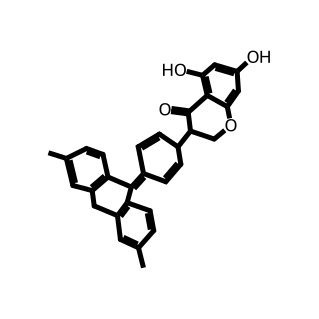 Cc1ccc2c(c1)Cc1cc(C)ccc1C2=C1C=CC(C2COc3cc(O)cc(O)c3C2=O)C=C1